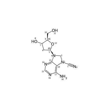 N#CN1CN([C@H]2CC(O)[C@@H](CO)O2)c2ncnc(N)c21